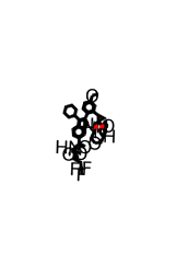 COc1ccc2c(c1)C1CC1(C(=O)N1[C@@H]3COC[C@H]1CN(C)C3)Cn1c-2c(C2CCCCC2)c2ccc(C(=O)NS(=O)(=O)CCC(F)(F)F)cc21